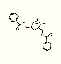 CC1C2CC(COC(=O)c3ccccc3)(CC2COC(=O)c2ccccc2)C1C